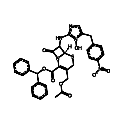 CC(=O)OCC1=C(C(=O)OC(c2ccccc2)c2ccccc2)N2C(=O)C(Nc3ncc(Cc4ccc([N+](=O)[O-])cc4)n3O)[C@H]2SC1